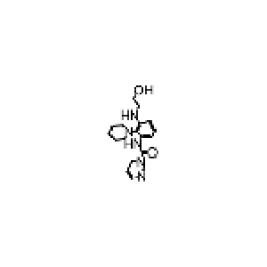 O=C(Nc1cccc(NCCO)c1N1CCCCC1)N1C=NC=CC1